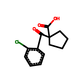 O=C(O)C1(C(=O)c2ccccc2Cl)CCCC1